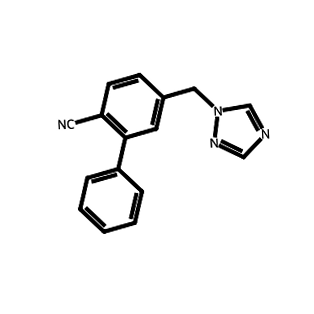 N#Cc1ccc(Cn2cncn2)cc1-c1ccccc1